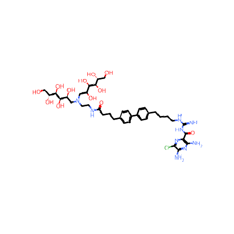 N=C(NCCCCc1ccc(-c2ccc(CCCC(=O)NCCN(C[C@H](O)[C@@H](O)[C@H](O)[C@H](O)CO)C[C@H](O)[C@@H](O)[C@H](O)[C@H](O)CO)cc2)cc1)NC(=O)c1nc(Cl)c(N)nc1N